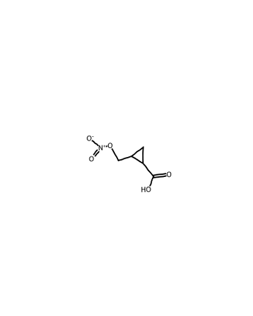 O=C(O)C1CC1CO[N+](=O)[O-]